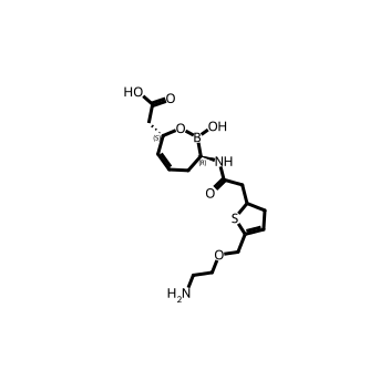 NCCOCC1=CCC(CC(=O)N[C@H]2CC=C[C@H](CC(=O)O)OB2O)S1